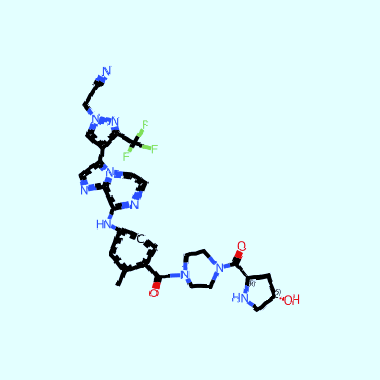 Cc1cc(Nc2nccn3c(-c4cn(CC#N)nc4C(F)(F)F)cnc23)ccc1C(=O)N1CCN(C(=O)[C@H]2C[C@H](O)CN2)CC1